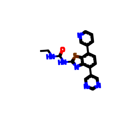 CCNC(=O)Nc1nc2c(-c3cncnc3)ccc(-c3cccnc3)c2s1